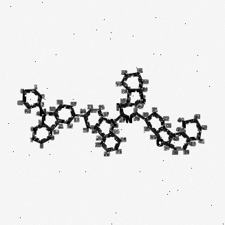 c1ccc(-n2c3ccccc3c3cc(-c4ccc5c(c4)c4ccccc4n5-c4nc(-c5ccc6c(c5)oc5ccc7ccccc7c56)c5sc6ccccc6c5n4)ccc32)cc1